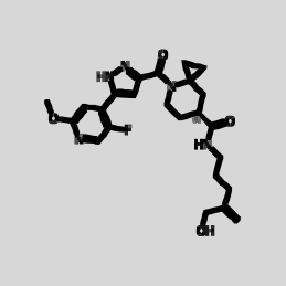 C=C(CO)CCCNC(=O)[C@H]1CCN(C(=O)c2cc(-c3cc(OC)ncc3F)[nH]n2)C2(CC2)C1